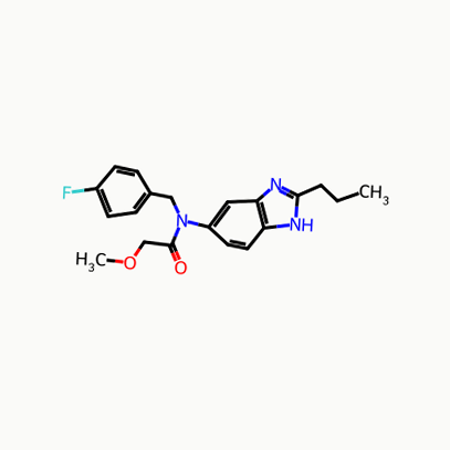 CCCc1nc2cc(N(Cc3ccc(F)cc3)C(=O)COC)ccc2[nH]1